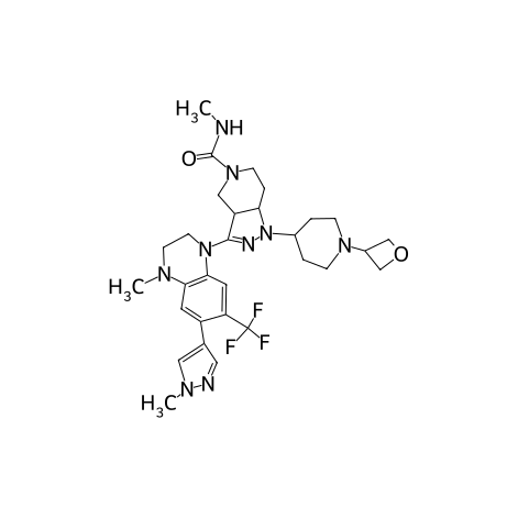 CNC(=O)N1CCC2C(C1)C(N1CCN(C)c3cc(-c4cnn(C)c4)c(C(F)(F)F)cc31)=NN2C1CCN(C2COC2)CC1